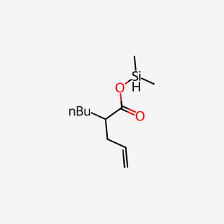 C=CCC(CCCC)C(=O)O[SiH](C)C